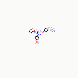 Cc1ccccc1C(=O)Nc1nc(NC(=O)c2ccc(CN3CCN(C)CC3)cc2)nn1-c1ccc(OC(F)(F)F)cc1